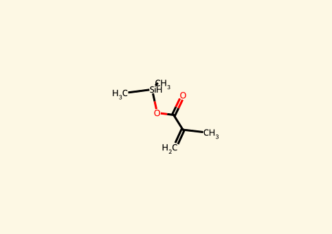 C=C(C)C(=O)O[SiH](C)C